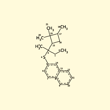 CCC(C)(Sc1ccc2ccccc2c1)C1CC(C)C1(C)C